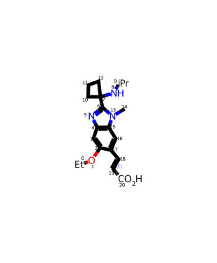 CCOc1cc2nc(C3(NC(C)C)CCC3)n(C)c2cc1/C=C/C(=O)O